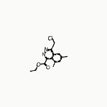 CCOC(=O)c1nnc(CCl)c2cc(C)cc(C)c12